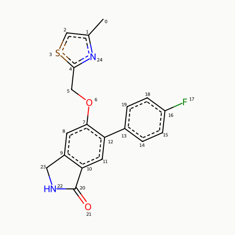 Cc1csc(COc2cc3c(cc2-c2ccc(F)cc2)C(=O)NC3)n1